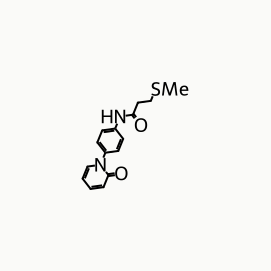 CSCCC(=O)Nc1ccc(-n2ccccc2=O)cc1